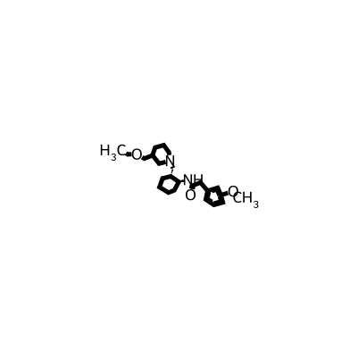 CCOCC1CCCN(C[C@H]2CCCC[C@@H]2NC(=O)Cc2cccc(OC)c2)C1